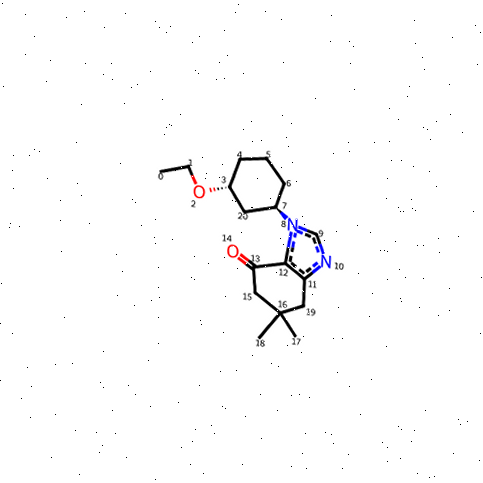 CCO[C@@H]1CCC[C@@H](n2cnc3c2C(=O)CC(C)(C)C3)C1